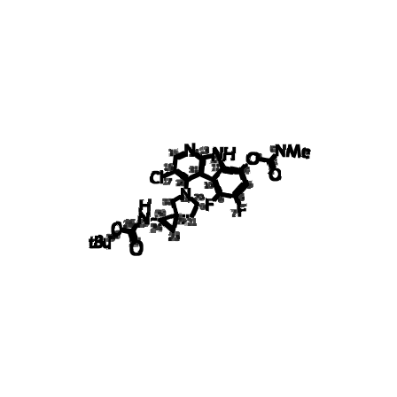 CNC(=O)Oc1cc(F)c(F)c2c1[nH]c1ncc(Cl)c(N3CC[C@@]4(C[C@@H]4NC(=O)OC(C)(C)C)C3)c12